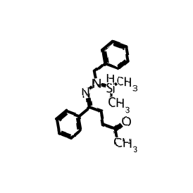 CC(=O)CCC(=NN(Cc1ccccc1)[SiH](C)C)c1ccccc1